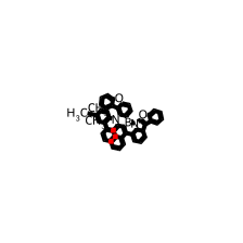 CC(C)(C)c1ccc(N2c3cc4ccccc4c4c3B(c3ccc5oc6ccccc6c5c32)N2c3oc5ccccc5c3C3C=CC=C4C32)c(-c2ccccc2)c1